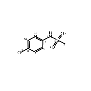 CS(=O)(=O)Nc1ccc(Cl)cn1